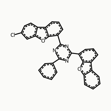 Clc1ccc2c(c1)oc1c(-c3nc(-c4ccccc4)nc(-c4cccc5c4oc4ccccc45)n3)cccc12